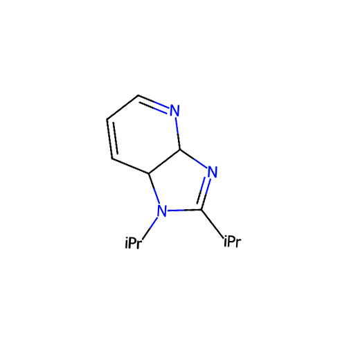 CC(C)C1=NC2N=CC=CC2N1C(C)C